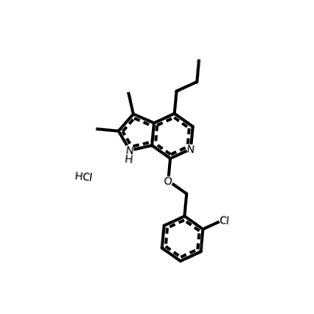 CCCc1cnc(OCc2ccccc2Cl)c2[nH]c(C)c(C)c12.Cl